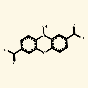 CN1c2ccc(C(=O)O)cc2Oc2ccc(C(=O)O)cc21